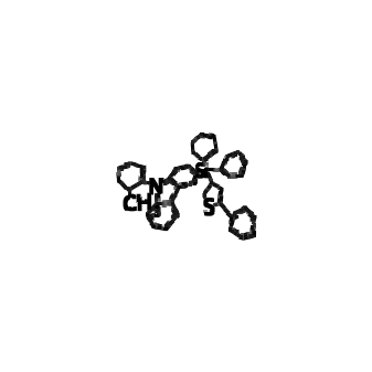 CC1CC=CC=C1n1c2ccccc2c2cc([Si](C3=CC=CCC3)(c3ccccc3)C3C=C(c4ccccc4)SC3)ccc21